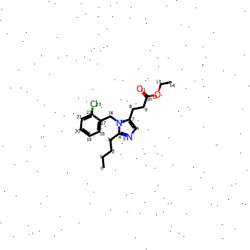 CCCCc1ncc(CCC(=O)OCC)n1Cc1ccccc1Cl